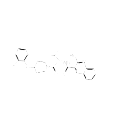 CC(C)[C@H](NC(=O)c1nc2ccccc2nc1O)C(=O)N1CCC(Oc2ccccc2F)CC1